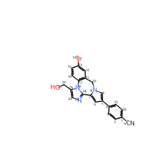 N#Cc1ccc(-c2cc3n(c2)Cc2cc(Br)ccc2-n2c(CO)cnc2-3)cc1